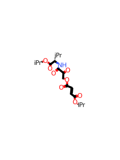 CC(C)OC(=O)/C=C/C(=O)OCC(=O)C(=O)N[C@H](C(=O)OC(C)C)C(C)C